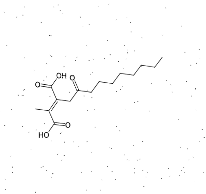 CCCCCCCCC(=O)C/C(C(=O)O)=C(/C)C(=O)O